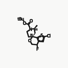 C[C@H]1C[C@@]2(CCN1C(=O)OC(C)(C)C)OCC(F)c1cc(Cl)sc12